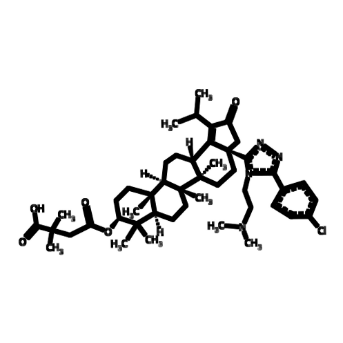 CC(C)C1=C2[C@H]3CC[C@@H]4[C@@]5(C)CC[C@H](OC(=O)CC(C)(C)C(=O)O)C(C)(C)[C@@H]5CC[C@@]4(C)[C@]3(C)CC[C@@]2(c2nnc(-c3ccc(Cl)cc3)n2CCN(C)C)CC1=O